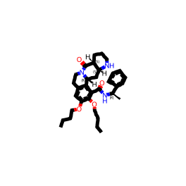 CCCCOc1cc2c(c(C(=O)N[C@H](C)c3ccccc3)c1OCCCC)[C@H]1C[C@@H]3NCCC[C@@H]3C(=O)N1CC2